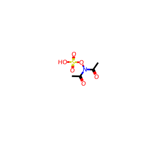 CC(=O)N(OS(=O)(=O)O)C(C)=O